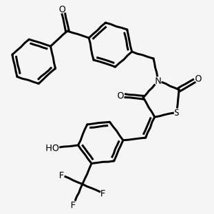 O=C(c1ccccc1)c1ccc(CN2C(=O)S/C(=C/c3ccc(O)c(C(F)(F)F)c3)C2=O)cc1